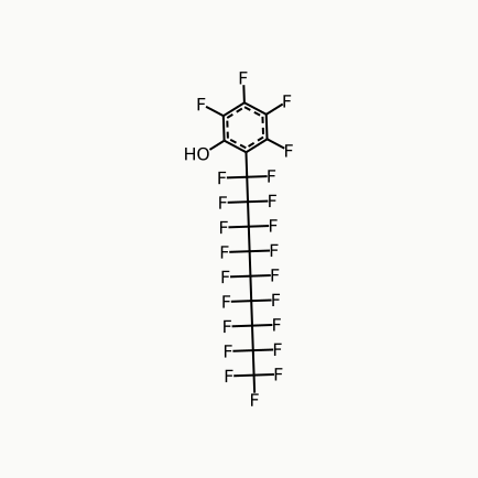 Oc1c(F)c(F)c(F)c(F)c1C(F)(F)C(F)(F)C(F)(F)C(F)(F)C(F)(F)C(F)(F)C(F)(F)C(F)(F)C(F)(F)F